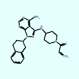 C=CC(=O)N1CCC(Nc2nn(C3CCc4ccccc4C3)c3ncnc(N)c23)CC1